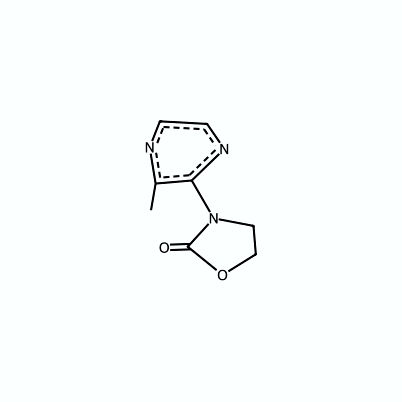 Cc1nccnc1N1CCOC1=O